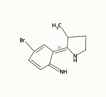 CC1CCN/C1=C1/C=C(Br)C=CC1=N